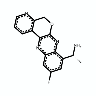 C[C@@H](N)c1cc(F)cc2nc3c(nc12)OCc1ncccc1-3